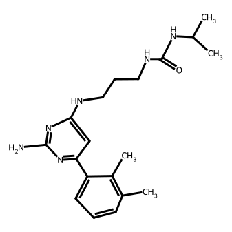 Cc1cccc(-c2cc(NCCCNC(=O)NC(C)C)nc(N)n2)c1C